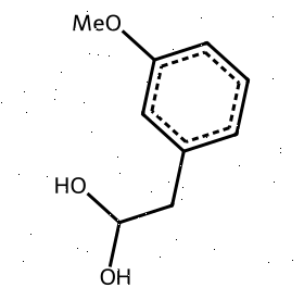 COc1cccc(CC(O)O)c1